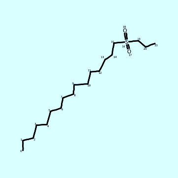 CCCCCCCCCCCCCCCCS(=O)(=O)CCC